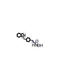 O=C(/C=C/c1ccc(Cn2ncc3ccccc32)cc1)NO